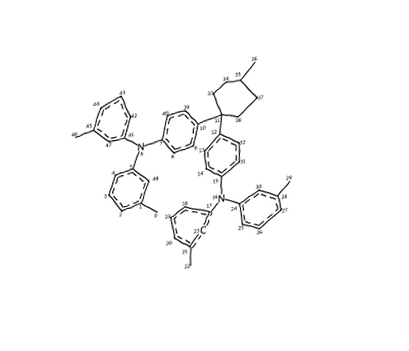 Cc1cccc(N(c2ccc(C3(c4ccc(N(c5cccc(C)c5)c5cccc(C)c5)cc4)CCC(C)CC3)cc2)c2cccc(C)c2)c1